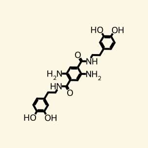 Nc1cc(C(=O)NCCc2ccc(O)c(O)c2)c(N)cc1C(=O)NCCc1ccc(O)c(O)c1